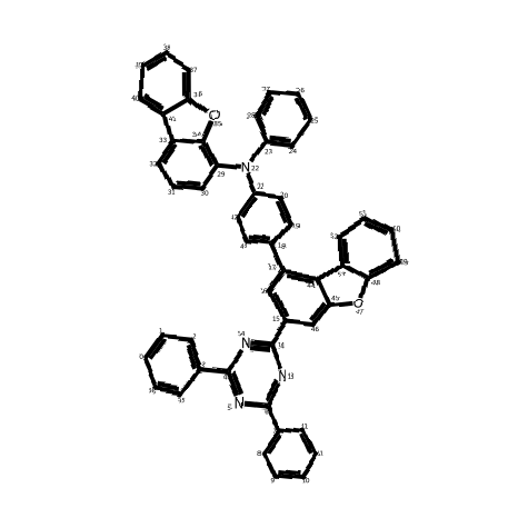 c1ccc(-c2nc(-c3ccccc3)nc(-c3cc(-c4ccc(N(c5ccccc5)c5cccc6c5oc5ccccc56)cc4)c4c(c3)oc3ccccc34)n2)cc1